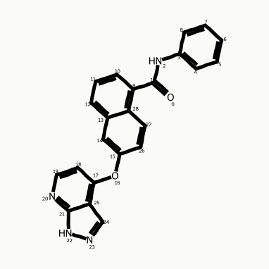 O=C(Nc1ccccc1)c1cccc2cc(Oc3ccnc4[nH]ncc34)ccc12